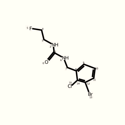 O=C(NCCF)NCc1cccc(Br)c1Cl